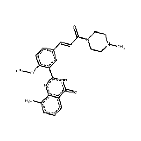 CCCOc1ccc(C=CC(=O)N2CCN(C)CC2)cc1-c1nc2c(C)cccc2c(=O)[nH]1